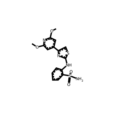 COc1cc(-c2csc(Nc3ccccc3S(N)(=O)=O)n2)cc(OC)n1